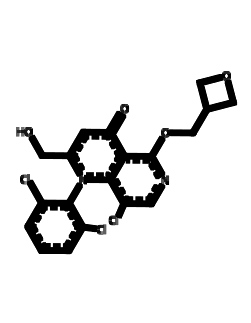 O=c1cc(CO)n(-c2c(Cl)cccc2Cl)c2c(Cl)cnc(OCC3COC3)c12